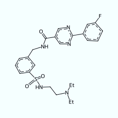 CCN(CC)CCNS(=O)(=O)c1cccc(CNC(=O)c2cnc(-c3cccc(F)c3)nc2)c1